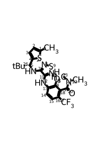 Cc1ccc([C@H](Nc2nsnc2Nc2ccc(C(F)(F)F)c(C(=O)N(C)C)c2O)C(C)(C)C)s1